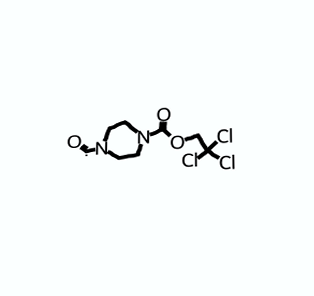 O=[C]N1CCN(C(=O)OCC(Cl)(Cl)Cl)CC1